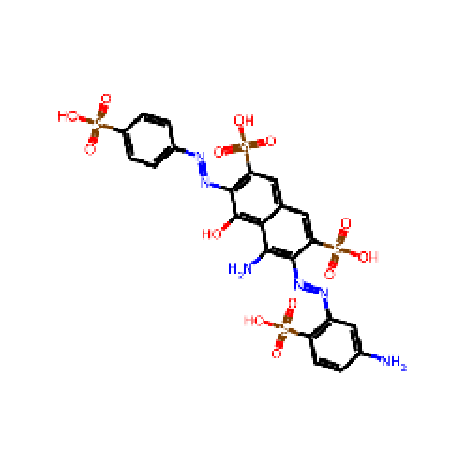 Nc1ccc(S(=O)(=O)O)c(N=Nc2c(S(=O)(=O)O)cc3cc(S(=O)(=O)O)c(N=Nc4ccc(S(=O)(=O)O)cc4)c(O)c3c2N)c1